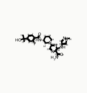 C[C@@H]1[C@H](NC(=O)c2ccc(C(C)(C)O)cc2F)CCCN1c1cnc(C(N)=O)c(Nc2cnn(C)c2)n1